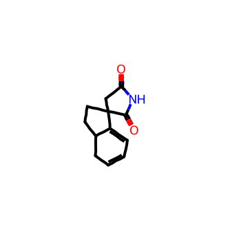 O=C1CC2(CCC3CC=CC=C32)C(=O)N1